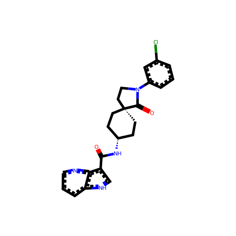 O=C(N[C@H]1CC[C@@]2(CCN(c3cccc(Cl)c3)C2=O)CC1)c1c[nH]c2cccnc12